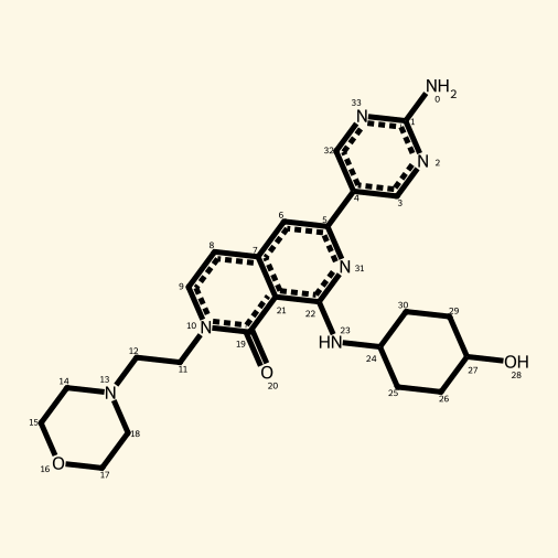 Nc1ncc(-c2cc3ccn(CCN4CCOCC4)c(=O)c3c(NC3CCC(O)CC3)n2)cn1